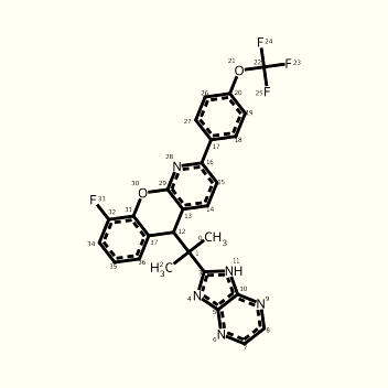 CC(C)(c1nc2nccnc2[nH]1)C1c2ccc(-c3ccc(OC(F)(F)F)cc3)nc2Oc2c(F)cccc21